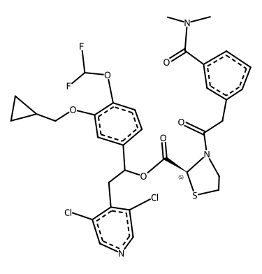 CN(C)C(=O)c1cccc(CC(=O)N2CCS[C@H]2C(=O)OC(Cc2c(Cl)cncc2Cl)c2ccc(OC(F)F)c(OCC3CC3)c2)c1